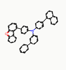 c1ccc(-c2cccc(N(c3ccc(-c4cccc5ccccc45)cc3)c3ccc(-c4cccc5oc6ccccc6c45)cc3)c2)cc1